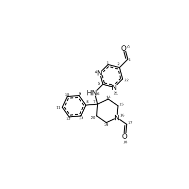 O=Cc1cnc(NC2(c3ccccc3)CCN(C=O)CC2)nc1